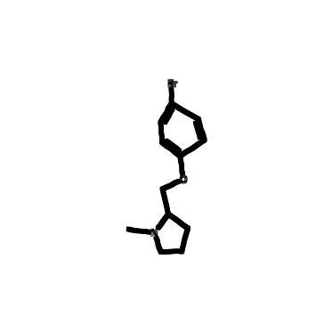 CN1CCCC1COc1ccc(Br)cc1